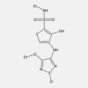 CCNS(=O)(=O)c1scc(Nc2n[s+]([O-])nc2OCC)c1O